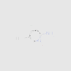 Cc1ccc(N)[n+]([O-])c1.Cl